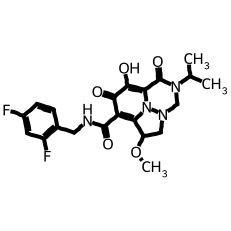 COC1CN2CN(C(C)C)C(=O)c3c(O)c(=O)c(C(=O)NCc4ccc(F)cc4F)c1n32